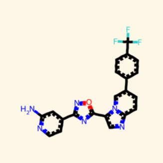 Nc1cc(-c2noc(-c3cnc4ccc(-c5ccc(C(F)(F)F)cc5)cn34)n2)ccn1